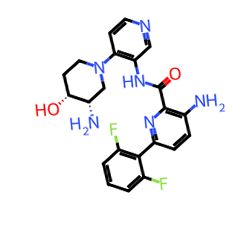 Nc1ccc(-c2c(F)cccc2F)nc1C(=O)Nc1cnccc1N1CC[C@@H](O)[C@@H](N)C1